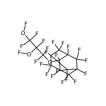 FOC(F)(F)C(F)(OF)C(F)(F)OC1(F)C2(F)C(F)(F)C3(F)C(F)(F)C(F)(C2(F)F)C(F)(F)C1(F)C3(F)F